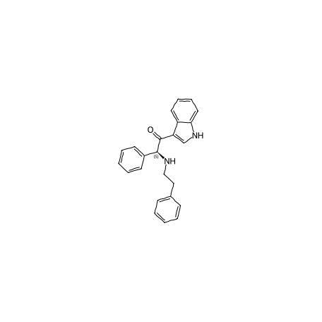 O=C(c1c[nH]c2ccccc12)[C@@H](NCCc1ccccc1)c1ccccc1